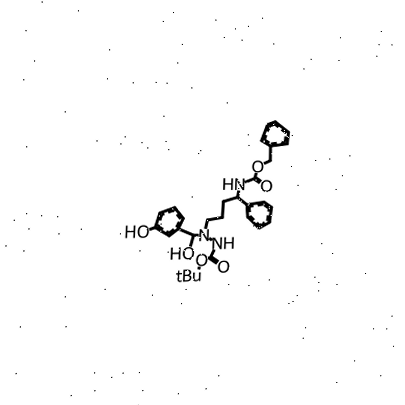 CC(C)(C)OC(=O)NN(CCCC(NC(=O)OCc1ccccc1)c1ccccc1)C(O)c1cccc(O)c1